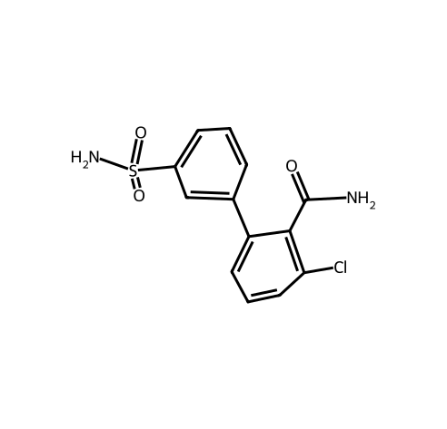 NC(=O)c1c(Cl)cccc1-c1cccc(S(N)(=O)=O)c1